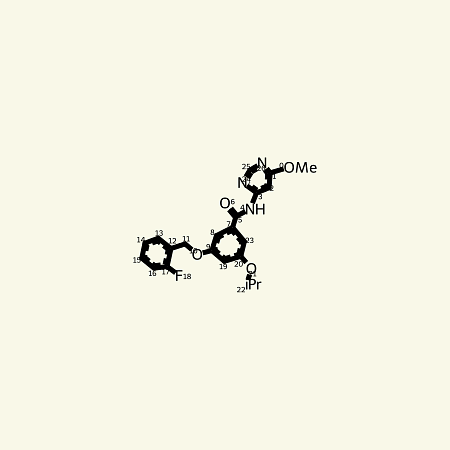 COc1cc(NC(=O)c2cc(OCc3ccccc3F)cc(OC(C)C)c2)ncn1